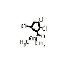 CON(C)C(=O)c1cc(Cl)cc(Cl)c1Cl